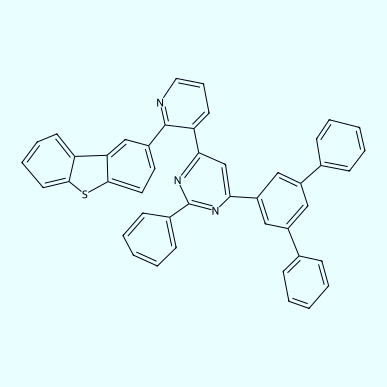 c1ccc(-c2cc(-c3ccccc3)cc(-c3cc(-c4cccnc4-c4ccc5sc6ccccc6c5c4)nc(-c4ccccc4)n3)c2)cc1